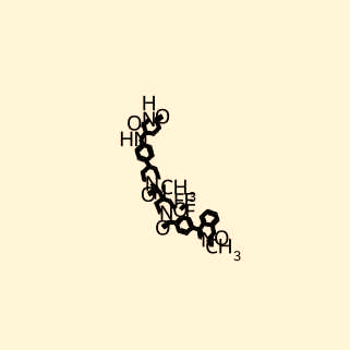 CN(C(=O)N1CCC(c2ccc(NC3CCC(=O)NC3=O)cc2)CC1)C1CCN(C(=O)c2ccc(-c3cn(C)c(=O)c4ccccc34)cc2OC(F)(F)F)CC1